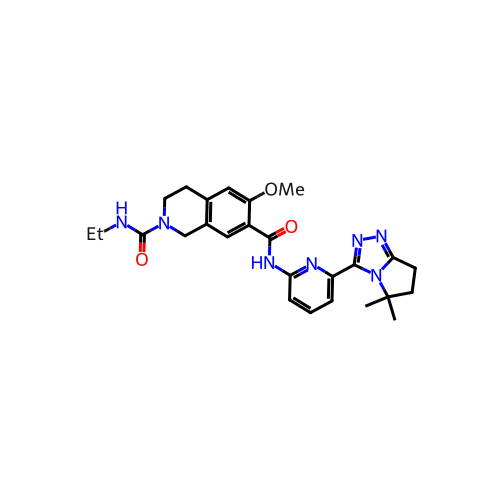 CCNC(=O)N1CCc2cc(OC)c(C(=O)Nc3cccc(-c4nnc5n4C(C)(C)CC5)n3)cc2C1